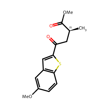 COC(=O)[C@@H](C)CC(=O)c1cc2cc(OC)ccc2s1